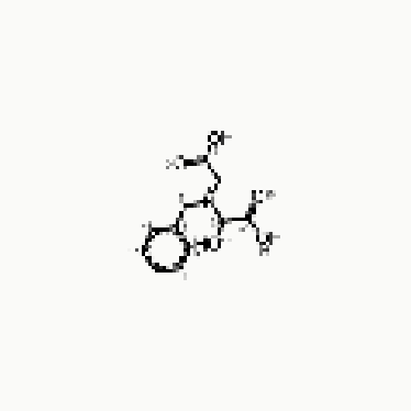 O=C(O)CN(Cc1ccccc1)C(O)C(=O)O